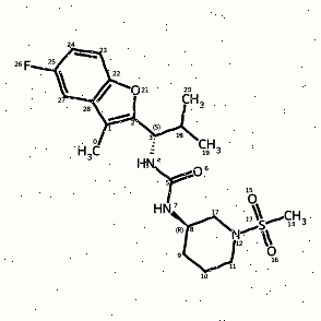 Cc1c([C@@H](NC(=O)N[C@@H]2CCCN(S(C)(=O)=O)C2)C(C)C)oc2ccc(F)cc12